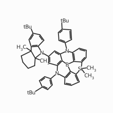 CC(C)(C)c1ccc(N2c3cc(N4c5ccc(C(C)(C)C)cc5C5(C)CCCCC45C)cc4c3B3c5c2cccc5[Si](C)(C)c2cccc(c23)N4c2ccc(C(C)(C)C)cc2)cc1